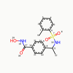 Cc1ccccc1S(=O)(=O)NC(C)c1ccc(C(=O)NO)cc1